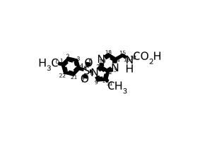 Cc1ccc(S(=O)(=O)n2cc(C)c3nc(CNC(=O)O)cnc32)cc1